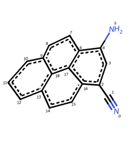 N#Cc1cc(N)c2ccc3cccc4ccc1c2c34